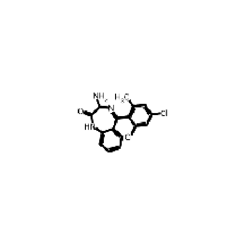 Cc1cc(Cl)cc(Cl)c1C1=NC(N)C(=O)Nc2ccccc21